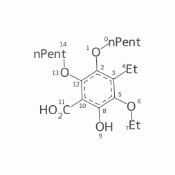 CCCCCOc1c(CC)c(OCC)c(O)c(C(=O)O)c1OCCCCC